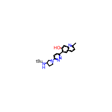 Cc1ccc2cc(-c3ccc(N4CCC(NC(C)(C)C)C4)nn3)c(O)cc2n1